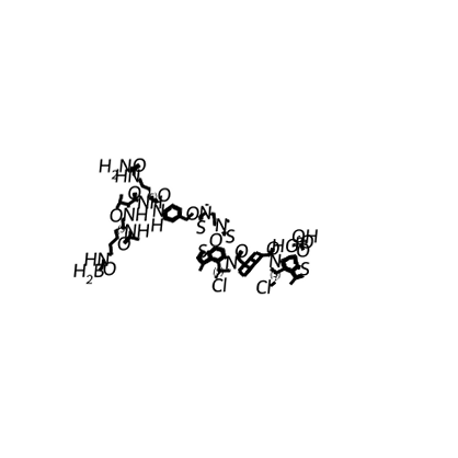 BC(=O)NCCCC[C@H](NC(C)=O)C(=O)NC(C(=O)N[C@@H](CCCNC(N)=O)C(=O)Nc1ccc(COC(=S)N(C)CCN(C)C(=S)Oc2cc3c(c4c(C)csc24)[C@H](CCl)CN3C(=O)C23C4C5C2C2C3C4C52C(=O)N2C[C@@H](CCl)c3c2cc(OP(=O)(O)O)c2scc(C)c32)cc1)C(C)C